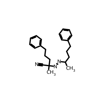 CC(CCCc1ccccc1)/N=N/C(C)(C#N)CCCc1ccccc1